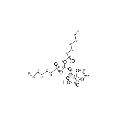 CCCCCCC(=O)OC(OC(=O)CCCCCC)OC(=O)C1(C(=O)O)OC=CO1